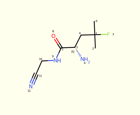 CC(C)(F)C[C@H](N)C(=O)NCC#N